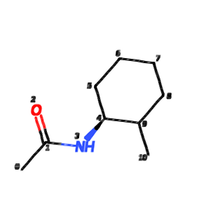 CC(=O)N[C@H]1CCCCC1C